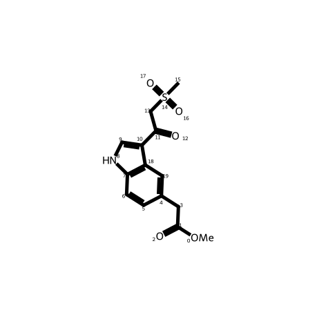 COC(=O)Cc1ccc2[nH]cc(C(=O)CS(C)(=O)=O)c2c1